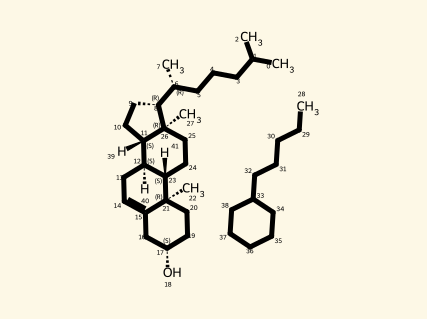 CC(C)CCC[C@@H](C)[C@H]1CC[C@H]2[C@@H]3CC=C4C[C@@H](O)CC[C@]4(C)[C@H]3CC[C@]12C.CCCCCC1CCCCC1